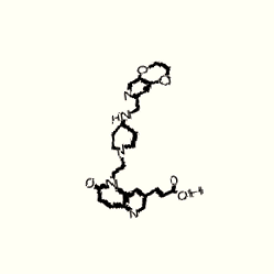 O=C(O)/C=C/c1cnc2ccc(=O)n(CCN3CCC(NCc4cc5c(cn4)OCCO5)CC3)c2c1